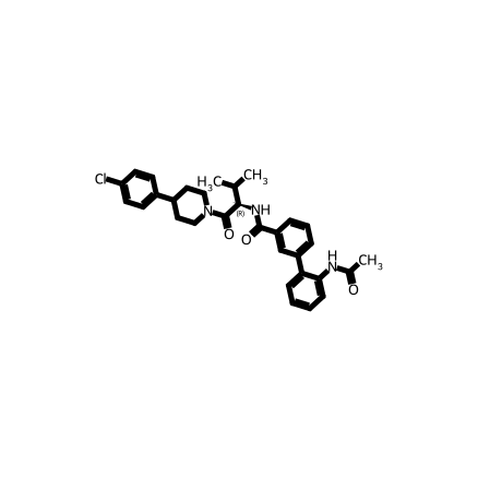 CC(=O)Nc1ccccc1-c1cccc(C(=O)N[C@@H](C(=O)N2CCC(c3ccc(Cl)cc3)CC2)C(C)C)c1